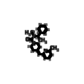 Cc1cccc(C=C2CCN(C(=O)N(C)C(C)c3ccccc3)CC2)n1